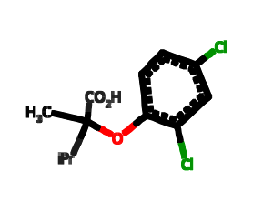 CC(C)C(C)(Oc1ccc(Cl)cc1Cl)C(=O)O